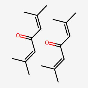 CC(C)=CC(=O)C=C(C)C.CC(C)=CC(=O)C=C(C)C